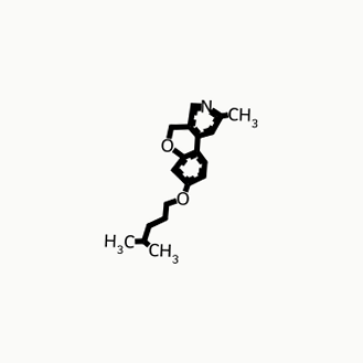 Cc1cc2c(cn1)COc1cc(OCCCC(C)C)ccc1-2